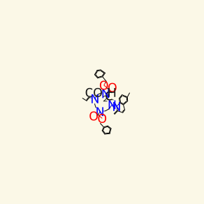 C=C1C=Cc2cc(C)ccc2N1N1CCN(C(=O)OCc2ccccc2)CCN(C(=CC)C(=O)O)CCN(C(=O)OCc2ccccc2)CC1